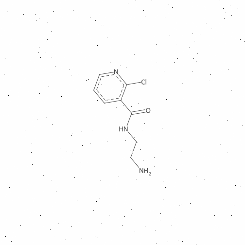 NCCNC(=O)c1cccnc1Cl